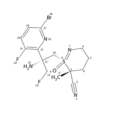 C[C@]1(C#N)CCCN=[S@@]1(=O)C[C@@](N)(CF)c1nc(Br)ccc1F